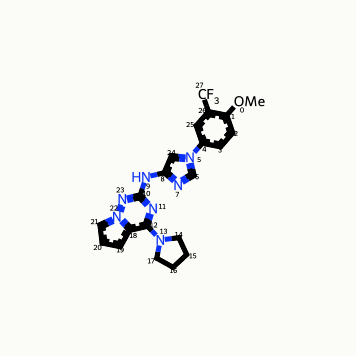 COc1ccc(-n2cnc(Nc3nc(N4CCCC4)c4cccn4n3)c2)cc1C(F)(F)F